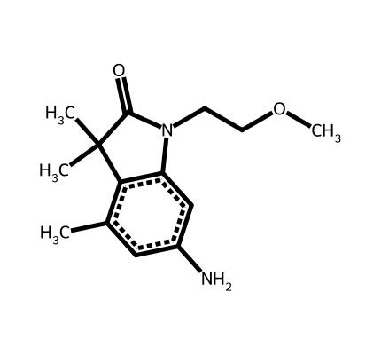 COCCN1C(=O)C(C)(C)c2c(C)cc(N)cc21